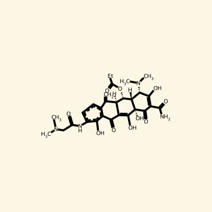 C=C1c2ccc(NC(=O)CN(C)C)c(O)c2C(=O)C2=C(O)[C@]3(O)C(=O)C(C(N)=O)=C(O)[C@@H](N(C)C)[C@H]3[C@@H](OC(=O)CC)[C@H]12